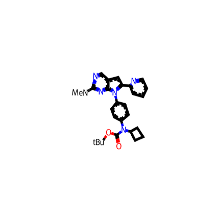 CNc1ncc2cc(-c3ccccn3)n(-c3ccc(N(C(=O)OC(C)(C)C)C4CCC4)cc3)c2n1